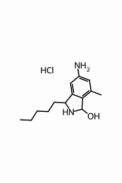 CCCCCC1NC(O)c2c(C)cc(N)cc21.Cl